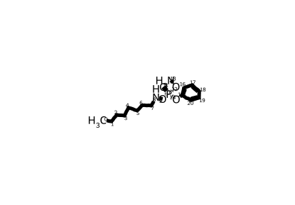 CCCCCCCCNOP(=O)(ON)Oc1ccccc1